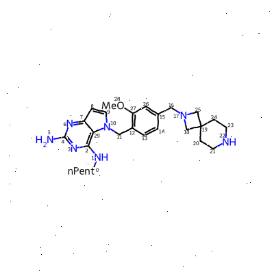 CCCCCNc1nc(N)nc2ccn(Cc3ccc(CN4CC5(CCNCC5)C4)cc3OC)c12